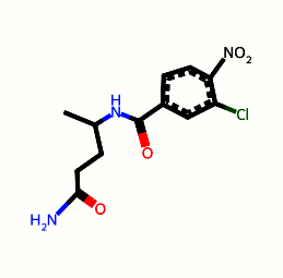 CC(CCC(N)=O)NC(=O)c1ccc([N+](=O)[O-])c(Cl)c1